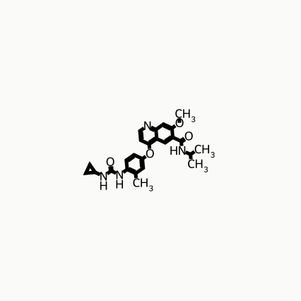 COc1cc2nccc(Oc3ccc(NC(=O)NC4CC4)c(C)c3)c2cc1C(=O)NC(C)C